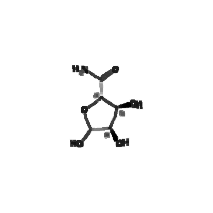 NC(=O)[C@H]1OC(O)[C@H](O)[C@@H]1O